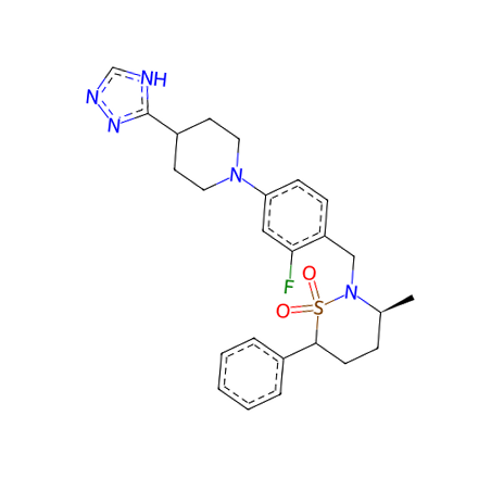 C[C@H]1CCC(c2ccccc2)S(=O)(=O)N1Cc1ccc(N2CCC(c3nnc[nH]3)CC2)cc1F